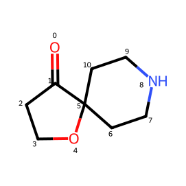 O=C1CCOC12CCNCC2